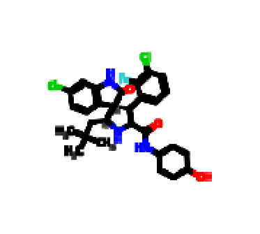 CC(C)(C)C[C@@H]1NC(C(=O)NC2CCC(O)CC2)C(c2cccc(Cl)c2F)[C@]12C(=O)Nc1cc(Cl)ccc12